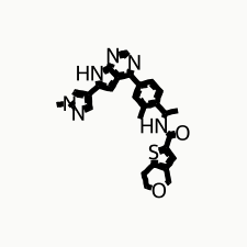 Cc1cc(-c2ncnc3[nH]c(-c4cnn(C)c4)cc23)ccc1C(C)NC(=O)c1cc2c(s1)CCOC2